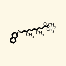 C/C(=C\CSc1ccc2ccccc2c1)CC/C=C(\C)CCC1OC1(C)C